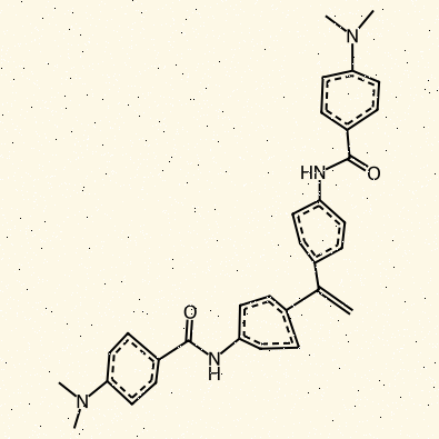 C=C(c1ccc(NC(=O)c2ccc(N(C)C)cc2)cc1)c1ccc(NC(=O)c2ccc(N(C)C)cc2)cc1